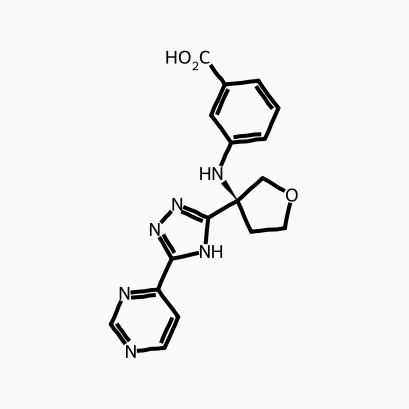 O=C(O)c1cccc(N[C@]2(c3nnc(-c4ccncn4)[nH]3)CCOC2)c1